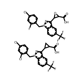 O=C(O)C1CC1c1nn(Cc2ccc(Cl)cc2Cl)c2ccc(C(F)(F)F)cc12.O=C(O)C1OC1c1nn(Cc2ccc(Cl)cc2F)c2ccc(C(F)(F)F)cc12